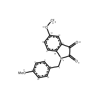 COc1ccc(CN2C(=O)C(=O)c3cc(OC(F)(F)F)ccc32)cc1